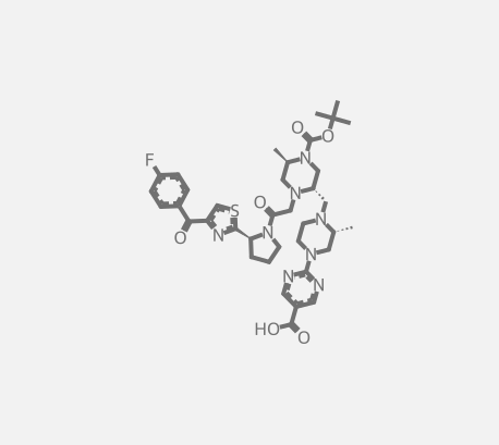 C[C@@H]1CN(c2ncc(C(=O)O)cn2)CCN1C[C@H]1CN(C(=O)OC(C)(C)C)[C@H](C)CN1CC(=O)N1CCC[C@H]1c1nc(C(=O)c2ccc(F)cc2)cs1